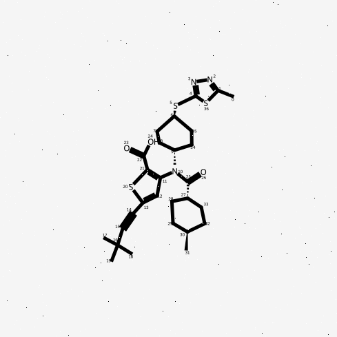 Cc1nnc(S[C@H]2CC[C@@H](N(c3cc(C#CC(C)(C)C)sc3C(=O)O)C(=O)[C@H]3CC[C@H](C)CC3)CC2)s1